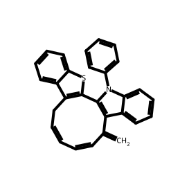 C=C1/C=C\C=C/Cc2c(sc3ccccc23)-c2c1c1ccccc1n2-c1ccccc1